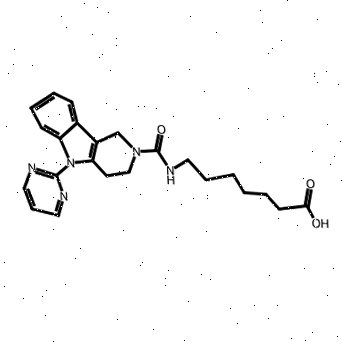 O=C(O)CCCCCCNC(=O)N1CCc2c(c3ccccc3n2-c2ncccn2)C1